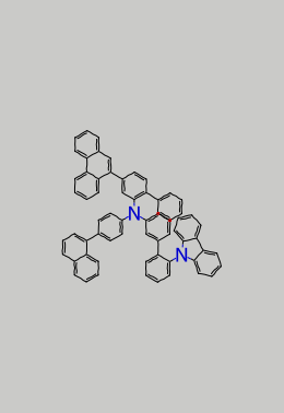 c1ccc(-c2ccc(-c3cc4ccccc4c4ccccc34)cc2N(c2ccc(-c3cccc4ccccc34)cc2)c2cccc(-c3ccccc3-n3c4ccccc4c4ccccc43)c2)cc1